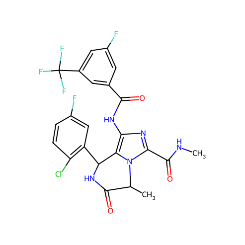 CNC(=O)c1nc(NC(=O)c2cc(F)cc(C(F)(F)F)c2)c2n1C(C)C(=O)NC2c1cc(F)ccc1Cl